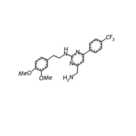 COc1ccc(CCNc2nc(CN)cc(-c3ccc(C(F)(F)F)cc3)n2)cc1OC